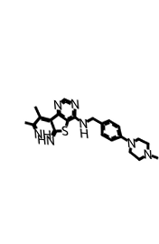 CC(=N)/C(C)=C1\C(=N)Sc2c(NCc3ccc(N4CCN(C)CC4)cc3)ncnc21